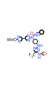 COc1ncc(-c2cnc(N(C(=O)NCc3ccccc3)[C@H]3CC[C@H](Nc4ncc(C(F)(F)F)c(NC5COC5)n4)CC3)nc2)cn1